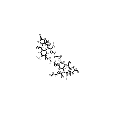 C=CCOC(=O)N1c2cc(OCCCOc3cc4c(cc3OC)C(=O)N3CC(=C)C[C@H]3[C@H](O)N4C(=O)OCC=C)c(OC)cc2C(=O)N2CC(=C)C[C@H]2[C@@H]1O